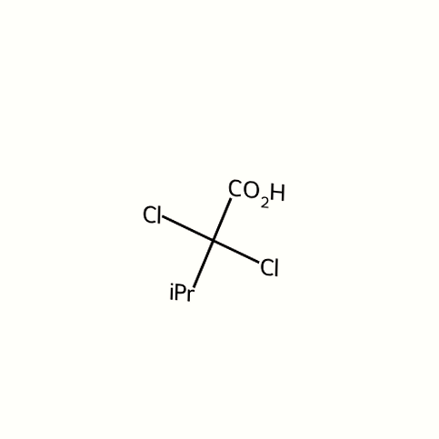 CC(C)C(Cl)(Cl)C(=O)O